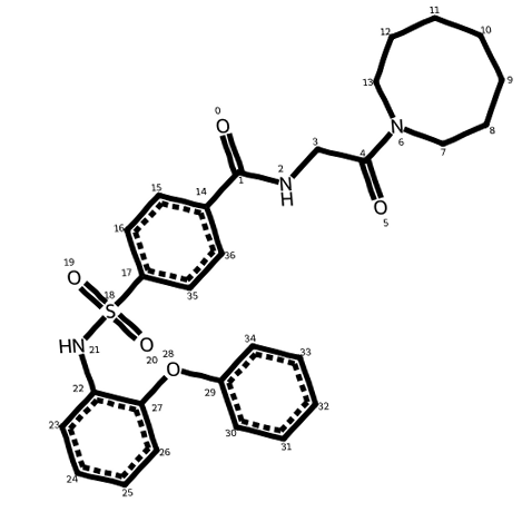 O=C(NCC(=O)N1CCCCCCC1)c1ccc(S(=O)(=O)Nc2ccccc2Oc2ccccc2)cc1